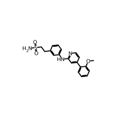 COc1ccccc1-c1ccnc(Nc2cccc(CCS(N)(=O)=O)c2)c1